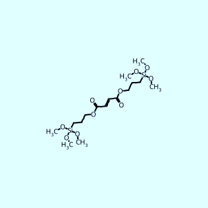 CO[Si](CCCOC(=O)C=CC(=O)OCCC[Si](OC)(OC)OC)(OC)OC